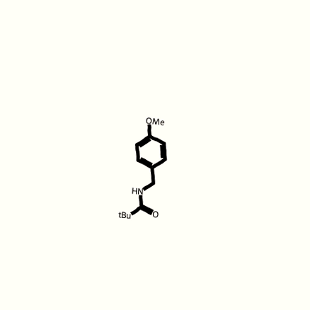 COc1ccc(CNC(=O)C(C)(C)C)cc1